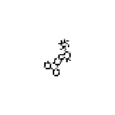 CC1(C)C=CC(B2OC(C)(C)C(C)(C)O2)=C2C=c3cc4c5ccccc5c5ccccc5c4cc3=C21